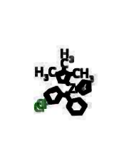 CC1=C(C)C(C)=[C]([Zr+2]([C]2=CC=CC2)=[C](c2ccccc2)c2ccccc2)C1.[Cl-].[Cl-]